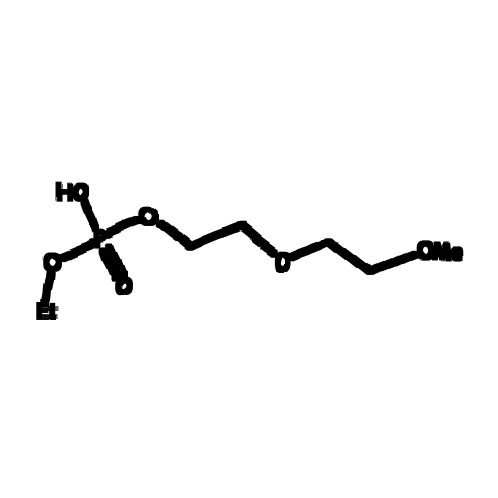 CCOP(=O)(O)OCCOCCOC